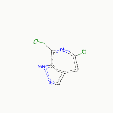 Clc1cc2cn[nH]c2c(Cl)n1